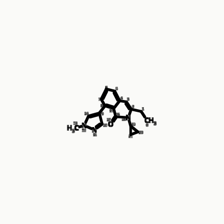 CCc1cc2cccc(-c3cnn(C)c3)c2c(=O)n1C1CC1